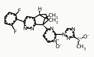 C[S+]([O-])c1ncn(-c2nc([C@@]34CC[C@@H](c5cc(-c6c(F)cccc6F)nnc53)C4(C)C)cc[n+]2[O-])n1